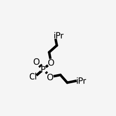 CC(C)CCOP(=O)(Cl)OCCC(C)C